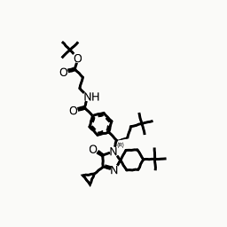 CC(C)(C)CC[C@H](c1ccc(C(=O)NCCC(=O)OC(C)(C)C)cc1)N1C(=O)C(C2CC2)=NC12CCC(C(C)(C)C)CC2